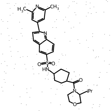 Cc1cc(-c2ccc3cc(S(=O)(=O)NC4CCC(C(=O)N5CCOCC5C(C)C)CC4)ccc3n2)cc(C)n1